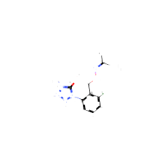 CCC(C)=NOCc1c(Cl)cccc1-n1nnn(C)c1=O